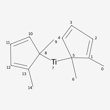 CC1=CC=C[C]1(C)[Ti][C]1(C)C=CC=C1C